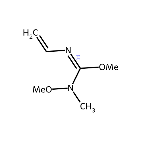 C=C/N=C(/OC)N(C)OC